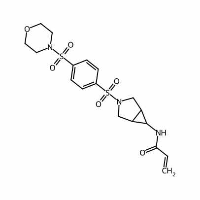 C=CC(=O)NC1C2CN(S(=O)(=O)c3ccc(S(=O)(=O)N4CCOCC4)cc3)CC21